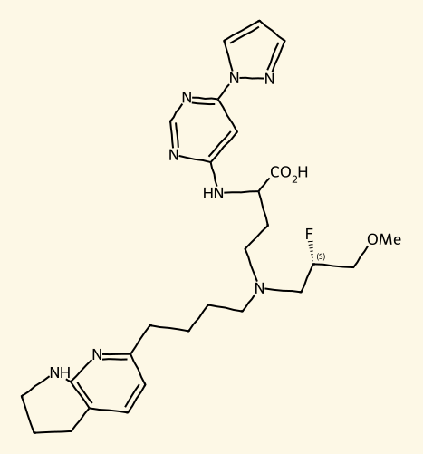 COC[C@@H](F)CN(CCCCc1ccc2c(n1)NCCC2)CCC(Nc1cc(-n2cccn2)ncn1)C(=O)O